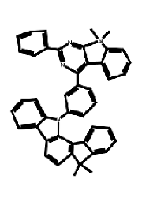 CC1(C)c2ccccc2-c2c1ccc1c3ccccc3n(-c3cccc(-c4nc(-c5ccccc5)nc5c4-c4ccccc4[Si]5(C)C)c3)c21